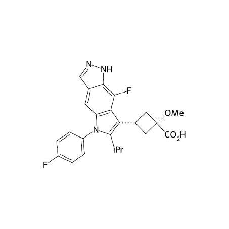 CO[C@]1(C(=O)O)C[C@H](c2c(C(C)C)n(-c3ccc(F)cc3)c3cc4cn[nH]c4c(F)c32)C1